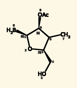 B[C@@H]1O[C@H](CO)C(C)[C@@H]1OC(C)=O